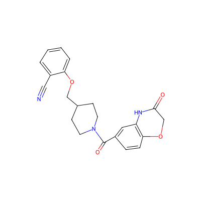 N#Cc1ccccc1OCC1CCN(C(=O)c2ccc3c(c2)NC(=O)CO3)CC1